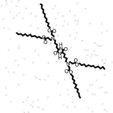 CCCCCCCCCCCCOC(=O)CCN(CCCCC1NC(=O)C(CCCCN(CCC(=O)OCCCCCCCCCCCC)CCC(=O)OCCCCCCCCCCCC)NC1=O)CCC(=O)OCCCCCCCCCCCC